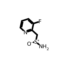 N[S+]([O-])Cc1ncccc1F